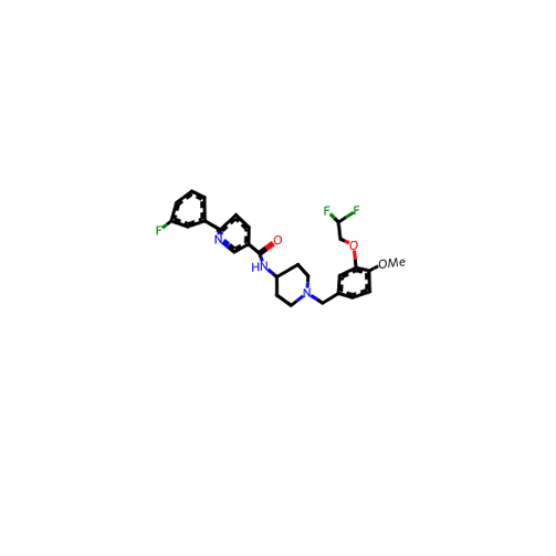 COc1ccc(CN2CCC(NC(=O)c3ccc(-c4cccc(F)c4)nc3)CC2)cc1OCC(F)F